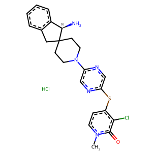 Cl.Cn1ccc(Sc2cnc(N3CCC4(CC3)Cc3ccccc3[C@H]4N)cn2)c(Cl)c1=O